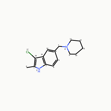 Cc1[nH]c2ccc(CN3CCCCC3)cc2c1Cl